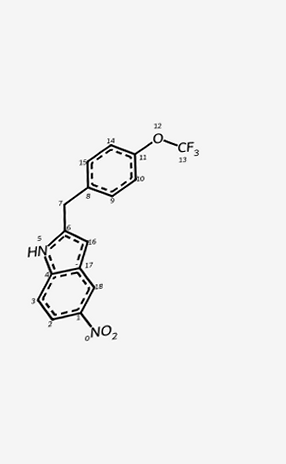 O=[N+]([O-])c1ccc2[nH]c(Cc3ccc(OC(F)(F)F)cc3)cc2c1